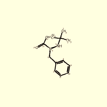 CC(C)(C)NN(Cc1ccccc1)C(=O)O